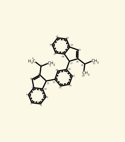 CC(C)C1=Cc2ccccc2C1c1cccc(C2C(C(C)C)=Cc3ccccc32)c1